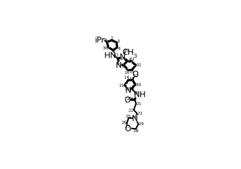 CC(C)c1cccc(Nc2nc3cc(Oc4ccnc(NC(=O)CCCN5CCOCC5)c4)ccc3n2C)c1